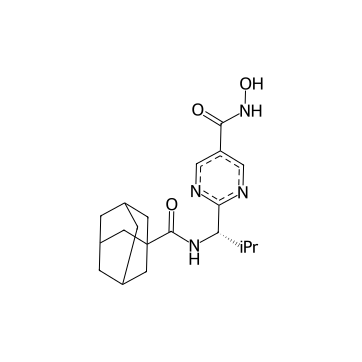 CC(C)[C@H](NC(=O)C12CC3CC(CC(C3)C1)C2)c1ncc(C(=O)NO)cn1